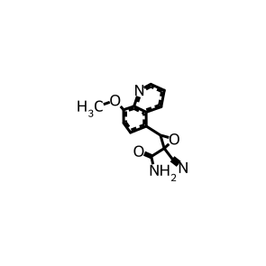 COc1ccc(C2OC2(C#N)C(N)=O)c2cccnc12